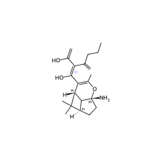 C=C(O)/C(C(=C)CCC)=C(\O)C1=C(C)O[C@]2(N)CC[C@@H]3C2[C@@H]1C3(C)C